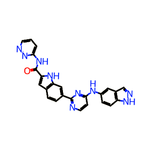 O=C(Nc1cccnn1)c1cc2ccc(-c3nccc(Nc4ccc5[nH]ncc5c4)n3)cc2[nH]1